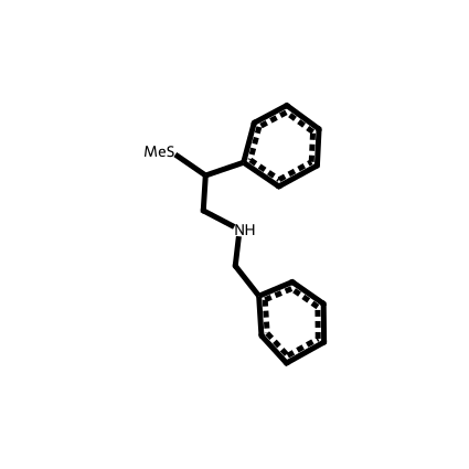 CSC(CNCc1ccccc1)c1ccccc1